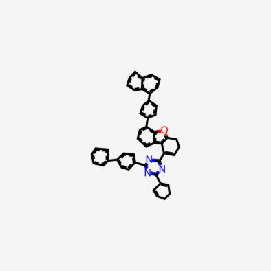 C1=CC(c2nc(C3=CCCc4oc5c(-c6ccc(-c7cccc8ccccc78)cc6)cccc5c43)nc(-c3ccc(-c4ccccc4)cc3)n2)=CCC1